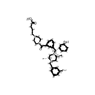 C[C@@H]1CN([C@@H](c2cccc(O)c2)c2cccc(C(=O)N3CCN(CCCC(=O)O)CC3)c2)[C@@H](C)CN1Cc1cccc(F)c1